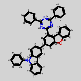 c1ccc(-c2nc(-c3ccccc3)nc(-c3cc(-c4ccc5c(c4)c4ccccc4n5-c4ccccc4)cc4oc5ccccc5c34)n2)cc1